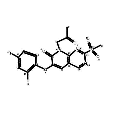 CC(=O)Cn1c(=O)c(Oc2ccc(F)cc2F)cc2cnc(S(C)(=O)=O)nc21